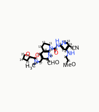 COCCNc1cc(NC(=O)N2CCCc3cc(CN(C)C(=O)C4CCCO4)c(C=O)nc32)ncc1C#N